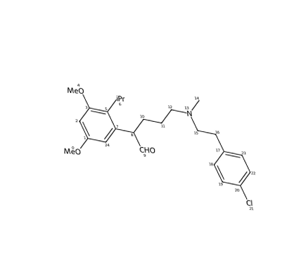 COc1cc(OC)c(C(C)C)c(C(C=O)CCCN(C)CCc2ccc(Cl)cc2)c1